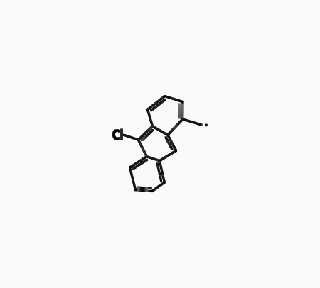 [CH2]c1cccc2c(Cl)c3ccccc3cc12